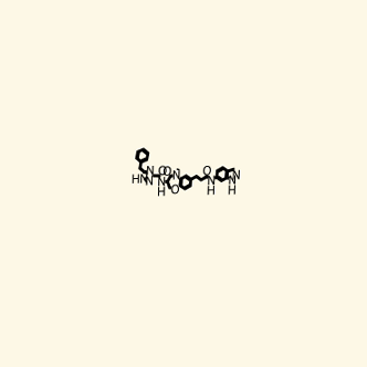 CN1C(=O)C(NC(=O)c2n[nH]c(Cc3ccccc3)n2)COc2ccc(CCC(=O)Nc3ccc4cn[nH]c4c3)cc21